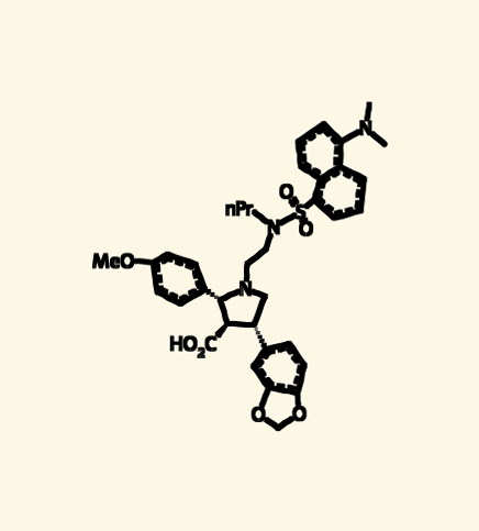 CCCN(CCN1C[C@H](c2ccc3c(c2)OCO3)[C@@H](C(=O)O)[C@@H]1c1ccc(OC)cc1)S(=O)(=O)c1cccc2c(N(C)C)cccc12